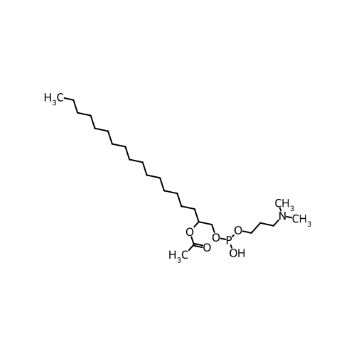 CCCCCCCCCCCCCCCCC(COP(O)OCCCN(C)C)OC(C)=O